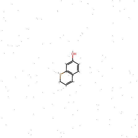 Oc1ccc2c(c1)SCC=C2